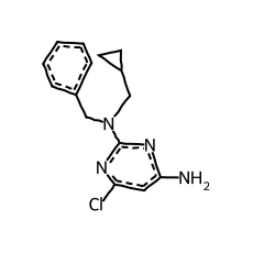 Nc1cc(Cl)nc(N(Cc2ccccc2)CC2CC2)n1